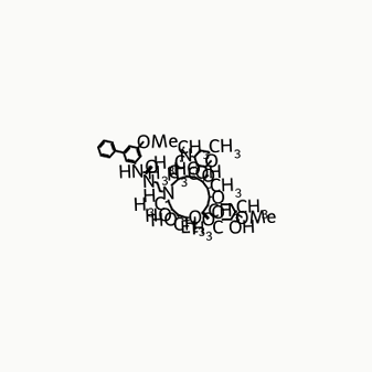 CC[C@H]1OC(=O)[C@H](C)[C@H](O[C@@H]2C[C@@](C)(OC)[C@@H](O)[C@H](C)O2)[C@@H](C)[C@H](O[C@@H]2O[C@H](C)C[C@H](N(C)C)[C@H]2O)[C@](C)(O)C[C@@H](C)CN(CCNC(=O)Nc2cc(OC)cc(-c3ccccc3)c2)[C@H](C)[C@@H](O)[C@]1(C)O